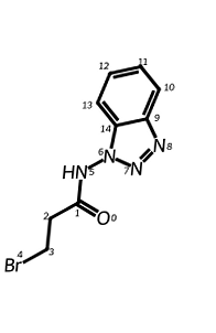 O=C(CCBr)Nn1nnc2ccccc21